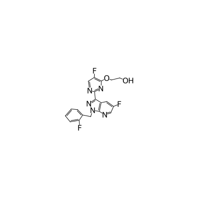 OCCOc1nc(-c2nn(Cc3ccccc3F)c3ncc(F)cc23)ncc1F